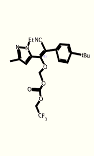 CCn1nc(C)cc1/C(OCOC(=O)OCC(F)(F)F)=C(\C#N)c1ccc(C(C)(C)C)cc1